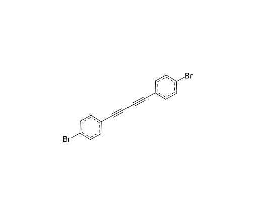 Brc1ccc(C#CC#Cc2ccc(Br)cc2)cc1